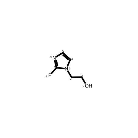 OCCn1ccnc1F